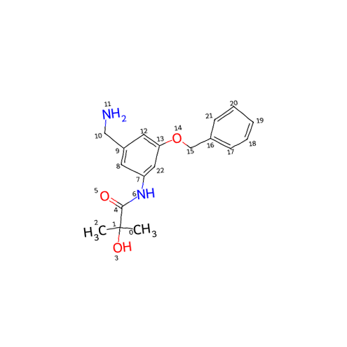 CC(C)(O)C(=O)Nc1cc(CN)cc(OCc2ccccc2)c1